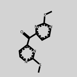 CSc1nccc(C(=O)c2ccnc(SC)n2)n1